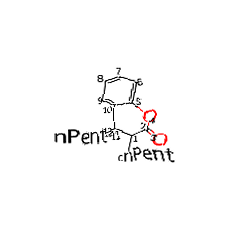 CCCCCC1C(=O)Oc2ccccc2C1CCCCC